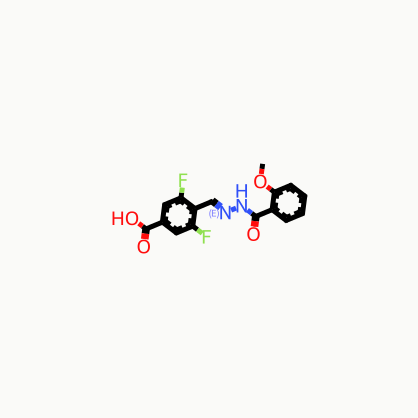 COc1ccccc1C(=O)N/N=C/c1c(F)cc(C(=O)O)cc1F